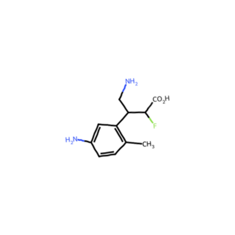 Cc1ccc(N)cc1C(CN)C(F)C(=O)O